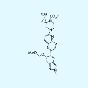 COCOc1cc2nn(C)cc2cc1-c1ccc2nc(N3CCN(C(=O)O)C4(CC4C(C)(C)C)C3)ccc2n1